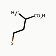 CC(CC[S])C(=O)O